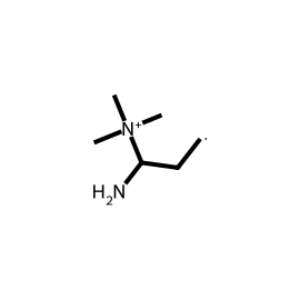 [CH2]CC(N)[N+](C)(C)C